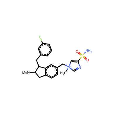 CNC1Cc2ccc(C[N+]3(C)C=NC(S(N)(=O)=O)=C3)cc2C1Cc1cccc(F)c1